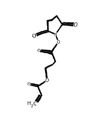 C=CC(=O)OCCC(=O)ON1C(=O)CCC1=O